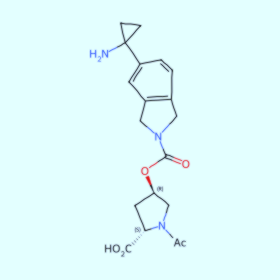 CC(=O)N1C[C@H](OC(=O)N2Cc3ccc(C4(N)CC4)cc3C2)C[C@H]1C(=O)O